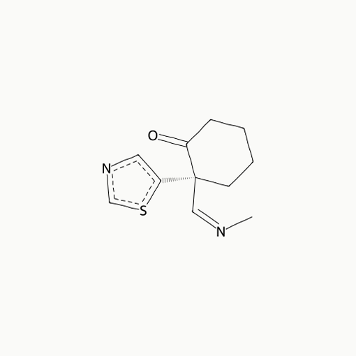 C/N=C\[C@]1(c2cncs2)CCCCC1=O